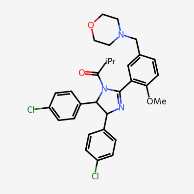 COc1ccc(CN2CCOCC2)cc1C1=NC(c2ccc(Cl)cc2)C(c2ccc(Cl)cc2)N1C(=O)C(C)C